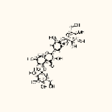 O=c1c(O)c(-c2ccc(OC3(O)O[C@H](CO)[C@@H](O)[C@H](O)[C@H]3O)c(O)c2)oc2cc(O)cc(OC3(O)O[C@@H](CO)[C@H](O)[C@@H](O)[C@@H]3O)c12